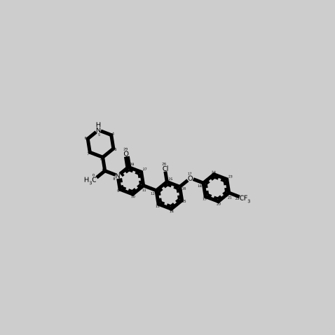 CC(C1CCNCC1)n1ccc(-c2cccc(Oc3ccc(C(F)(F)F)cc3)c2Cl)cc1=O